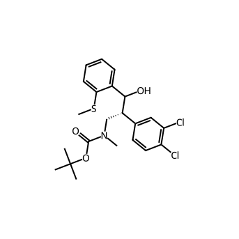 CSc1ccccc1C(O)[C@@H](CN(C)C(=O)OC(C)(C)C)c1ccc(Cl)c(Cl)c1